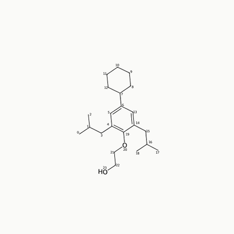 CC(C)Cc1cc(C2CCCCC2)cc(CC(C)C)c1OCCO